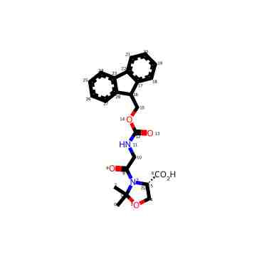 CC1(C)OC[C@@H](C(=O)O)N1C(=O)CNC(=O)OCC1c2ccccc2-c2ccccc21